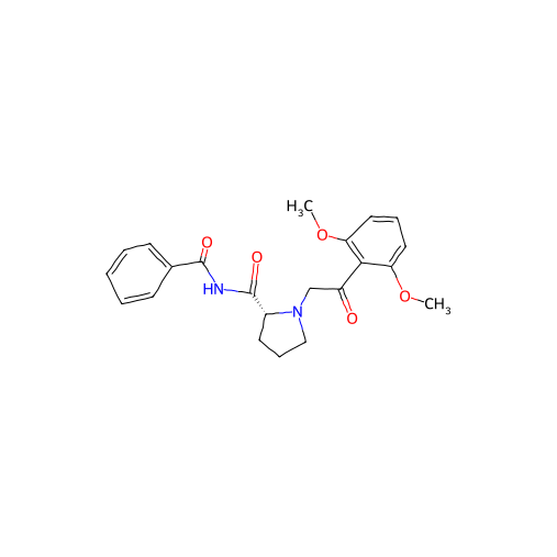 COc1cccc(OC)c1C(=O)CN1CCC[C@@H]1C(=O)NC(=O)c1ccccc1